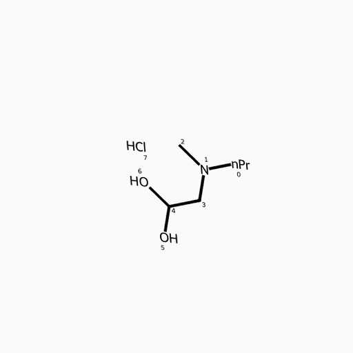 CCCN(C)CC(O)O.Cl